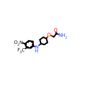 NC(=O)COC1CCC(Nc2ccc([N+](=O)[O-])c(C(F)(F)F)c2)CC1